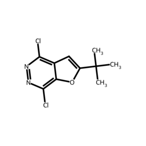 CC(C)(C)c1cc2c(Cl)nnc(Cl)c2o1